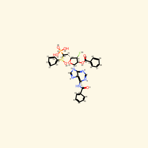 O=C(Nc1ncnc2c1ncn2[C@@H]1O[C@H](CC([S+]([O-])c2ccccc2)P(=O)(O)O)[C@@H](F)[C@H]1OC(=O)c1ccccc1)c1ccccc1